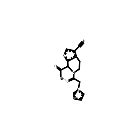 N#Cc1[c]sc2c1CCN(C(=O)Cn1ccnc1)C2C(N)=O